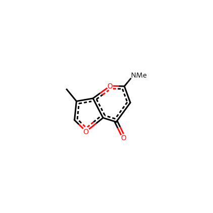 CNc1cc(=O)c2occ(C)c2o1